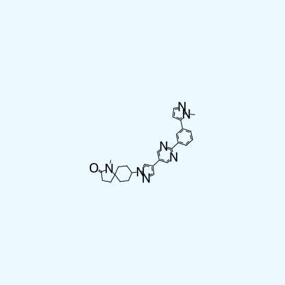 CN1C(=O)CCC12CCC(n1cc(-c3cnc(-c4cccc(-c5ccnn5C)c4)nc3)cn1)CC2